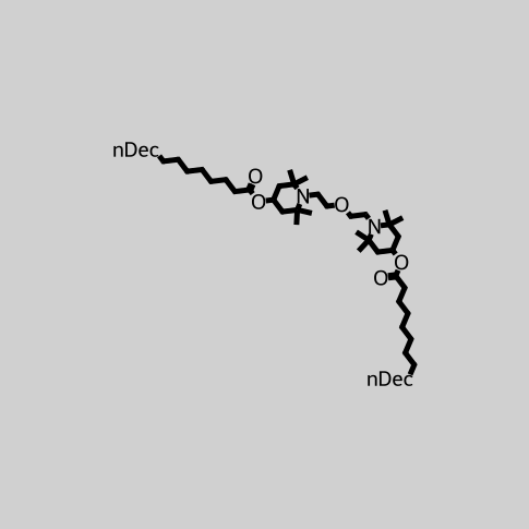 CCCCCCCCCCCCCCCCCC(=O)OC1CC(C)(C)N(CCOCCN2C(C)(C)CC(OC(=O)CCCCCCCCCCCCCCCCC)CC2(C)C)C(C)(C)C1